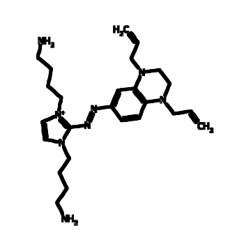 C=CCN1CCN(CC=C)c2cc(/N=N/c3n(CCCCN)cc[n+]3CCCCN)ccc21